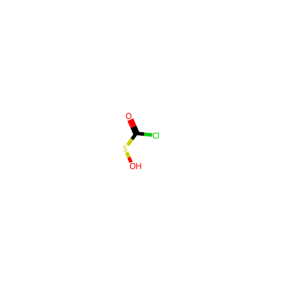 O=C(Cl)SO